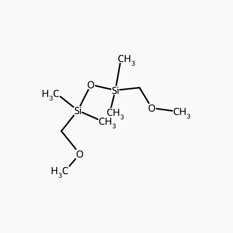 COC[Si](C)(C)O[Si](C)(C)COC